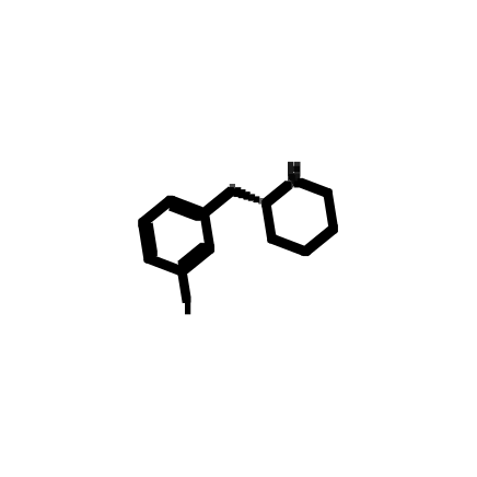 Ic1cccc([CH][C@H]2CCCCN2)c1